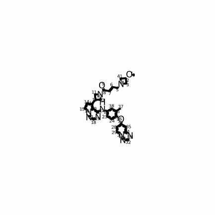 COC1CN(C/C=C/C(=O)N2CC(c3ccn4ncnc(Nc5ccc(Oc6ccn7ncnc7c6)c(C)c5)c34)C2)C1